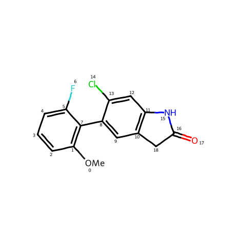 COc1cccc(F)c1-c1cc2c(cc1Cl)NC(=O)C2